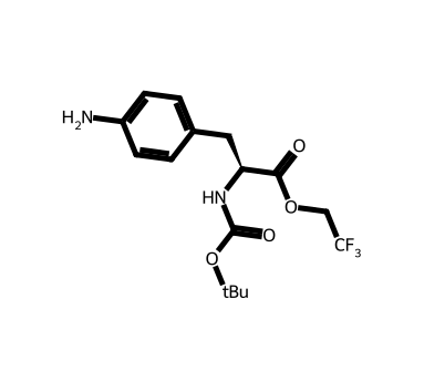 CC(C)(C)OC(=O)N[C@@H](Cc1ccc(N)cc1)C(=O)OCC(F)(F)F